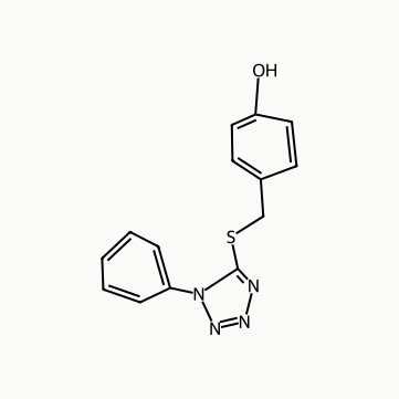 Oc1ccc(CSc2nnnn2-c2ccccc2)cc1